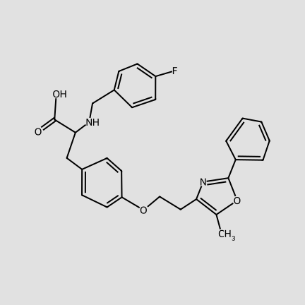 Cc1oc(-c2ccccc2)nc1CCOc1ccc(CC(NCc2ccc(F)cc2)C(=O)O)cc1